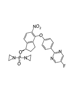 O=[N+]([O-])c1ccc2c(c1Oc1ccc(-c3ncc(F)cn3)cc1)CC[C@H]2OP(=O)(N1CC1)N1CC1